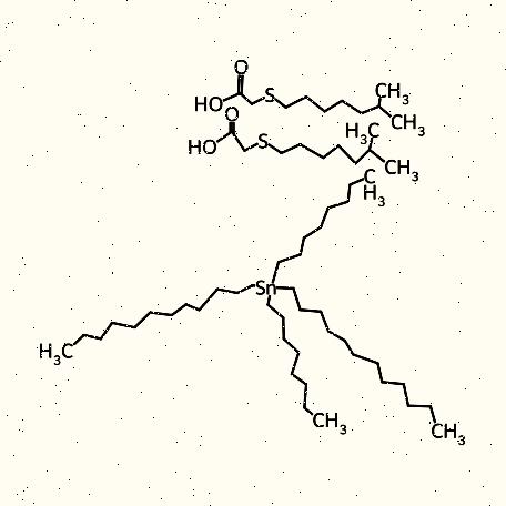 CC(C)CCCCCSCC(=O)O.CC(C)CCCCCSCC(=O)O.CCCCCCCCCCC[CH2][Sn]([CH2]CCCCCCC)([CH2]CCCCCCC)[CH2]CCCCCCCCCCC